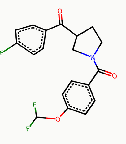 O=C(c1ccc(F)cc1)C1CCN(C(=O)c2ccc(OC(F)F)cc2)C1